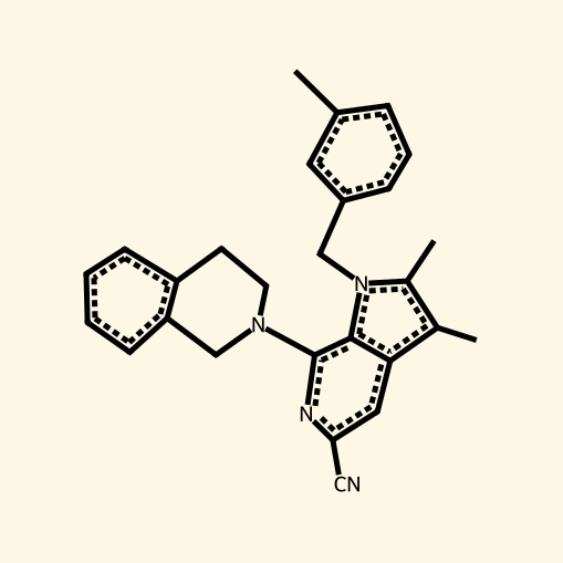 Cc1cccc(Cn2c(C)c(C)c3cc(C#N)nc(N4CCc5ccccc5C4)c32)c1